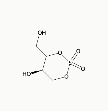 O=S1(=O)OC[C@@H](O)C(CO)O1